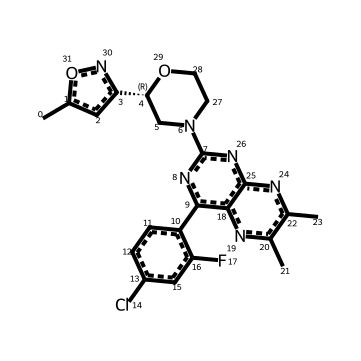 Cc1cc([C@H]2CN(c3nc(-c4ccc(Cl)cc4F)c4nc(C)c(C)nc4n3)CCO2)no1